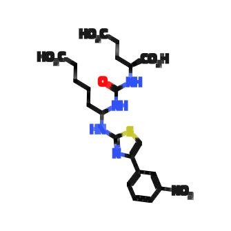 O=C(O)CCCCC(NC(=O)N[C@@H](CCC(=O)O)C(=O)O)Nc1nc(-c2cccc([N+](=O)[O-])c2)cs1